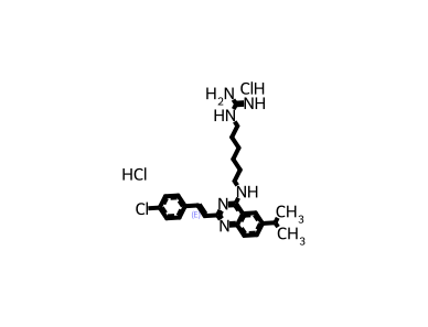 CC(C)c1ccc2nc(/C=C/c3ccc(Cl)cc3)nc(NCCCCCCNC(=N)N)c2c1.Cl.Cl